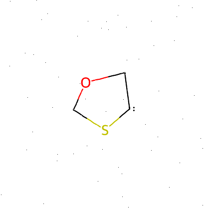 [C]1COCS1